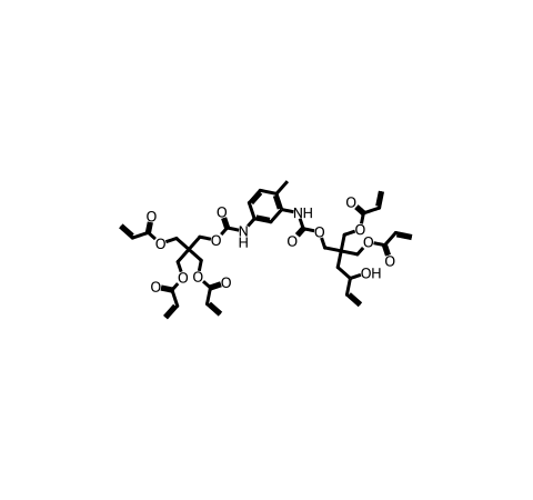 C=CC(=O)OCC(COC(=O)C=C)(COC(=O)C=C)COC(=O)Nc1ccc(C)c(NC(=O)OCC(COC(=O)C=C)(COC(=O)C=C)CC(O)C=C)c1